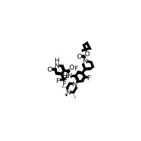 C[C@@H]1CN(c2cc(F)c(C3=CCCN(C(=O)OC4(C)CCC4)C3)c(F)c2NC(=O)c2c[nH]c(=O)cc2C(F)(F)F)C[C@H](C)N1C